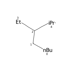 CCCCCC(CC)[C](C)C